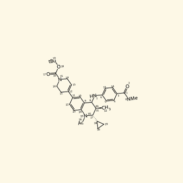 CNC(=O)c1ccc(NC2c3cc(C4=CCN(C(=O)OC(C)(C)C)CC4)ccc3N(C(C)=O)[C@@H](C3CC3)[C@@H]2C)cc1